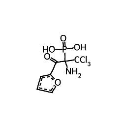 NC(C(=O)c1ccco1)(C(Cl)(Cl)Cl)P(=O)(O)O